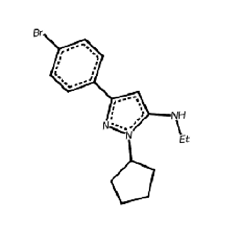 CCNc1cc(-c2ccc(Br)cc2)nn1C1CCCC1